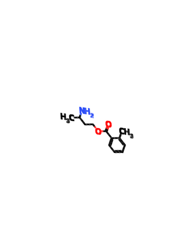 Cc1ccccc1C(=O)OCCC(C)N